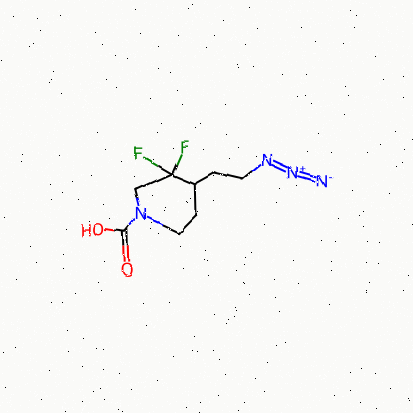 [N-]=[N+]=NCCC1CCN(C(=O)O)CC1(F)F